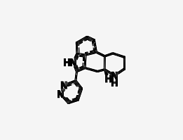 c1cnnc(-c2[nH]c3cccc4c3c2C[C@H]2NCCCC42)c1